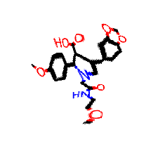 COCCNC(=O)CN1CC(c2ccc3c(c2)OCO3)C(C(=O)O)C1c1ccc(OC)cc1